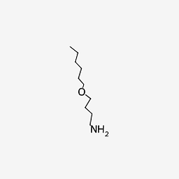 CCCCCCOCCCCN